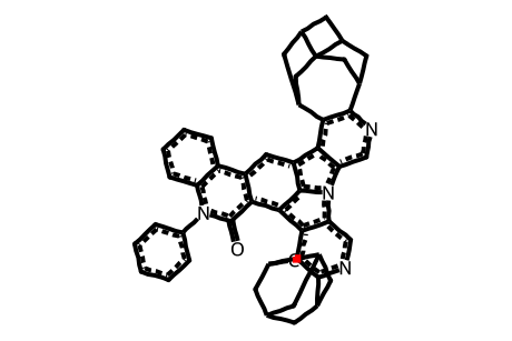 O=c1c2c(cc3c4c5c(ncc4n4c6cnc7c(c6c2c34)C2CC3CC(CC7C3)C2)C2CC3CC4CC5CC34C2)c2ccccc2n1-c1ccccc1